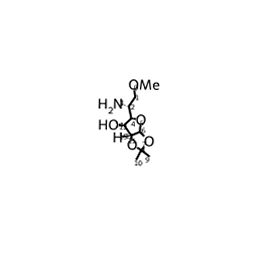 COC[C@@H](N)[C@H]1OC2OC(C)(C)O[C@@H]2[C@H]1O